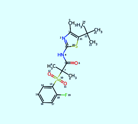 Cc1nc(NC(=O)C(C)(C)S(=O)(=O)c2ccccc2F)sc1C(C)(C)C